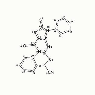 N#CCSc1nc2c(sc(=S)n2-c2ccccc2)c(=O)n1-c1ccccc1